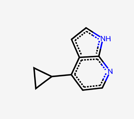 c1cc(C2CC2)c2cc[nH]c2n1